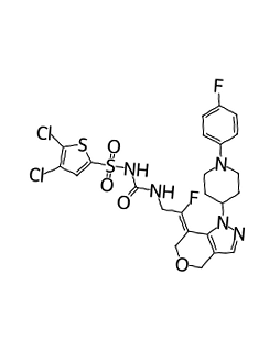 O=C(NCC(F)=C1COCc2cnn(C3CCN(c4ccc(F)cc4)CC3)c21)NS(=O)(=O)c1cc(Cl)c(Cl)s1